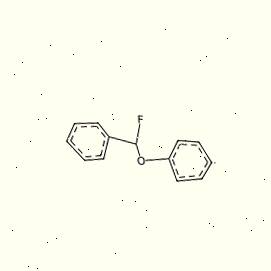 FC(Oc1cc[c]cc1)c1ccccc1